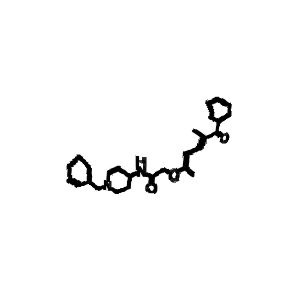 C/C(=C\C=C(/C)C(=O)c1ccccc1)OCC(=O)NC1CCN(CC2=CCCC=C2)CC1